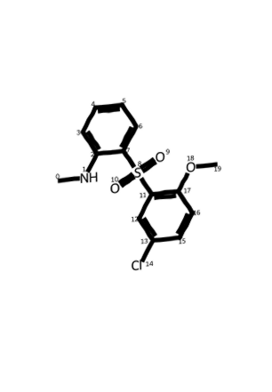 CNc1ccccc1S(=O)(=O)c1cc(Cl)ccc1OC